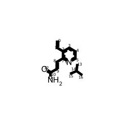 C=Cc1cccnc1C=CC(N)=O.CC(C)C